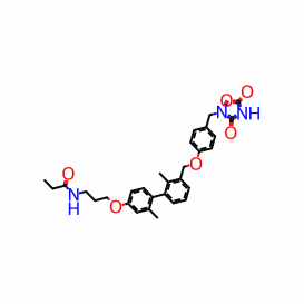 CCC(=O)NCCCOc1ccc(-c2cccc(COc3ccc(Cn4oc(=O)[nH]c4=O)cc3)c2C)c(C)c1